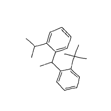 C[C](c1ccccc1C(C)C)c1ccccc1C(C)(C)C